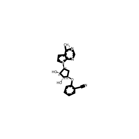 Cc1ncnc2c1ccn2[C@H]1C[C@@H](Oc2ccccc2C#N)[C@H](O)[C@@H]1O